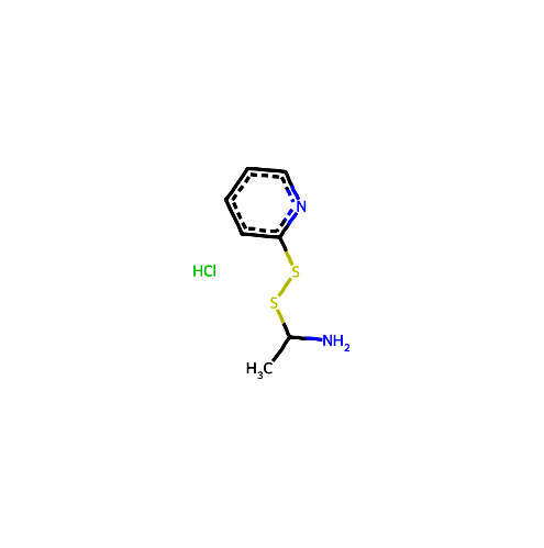 CC(N)SSc1ccccn1.Cl